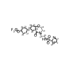 Cn1ccnc1S(=O)(=O)NCCN1CCOc2ccc(-c3ccc(OC(F)(F)F)cc3)cc2C1=O